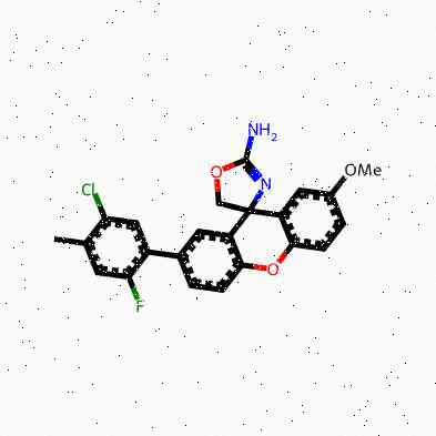 COc1ccc2c(c1)C1(COC(N)=N1)c1cc(-c3cc(Cl)c(C)cc3F)ccc1O2